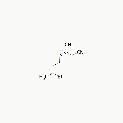 CC/C(C)=C\C/C=C(/C)CC#N